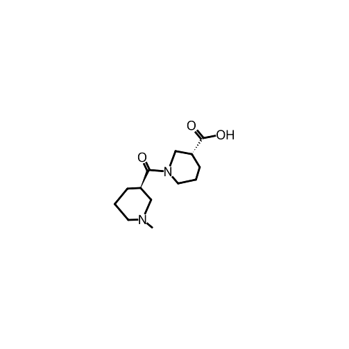 CN1CCC[C@@H](C(=O)N2CCC[C@@H](C(=O)O)C2)C1